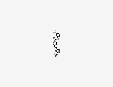 O=C(Nc1cccc(C(F)F)c1)N1CCc2cc(-c3noc(C(F)(F)F)n3)sc2C1